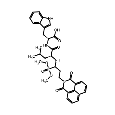 COP(=O)(OC)C(CCN1C(=O)c2cccc3cccc(c23)C1=O)N[C@@H](CC(C)C)C(=O)N[C@@H](Cc1c[nH]c2ccccc12)C(=O)O